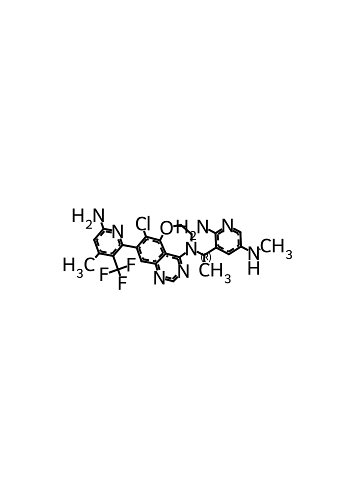 CNc1cnc(N)c([C@@H](C)N2CCOc3c(Cl)c(-c4nc(N)cc(C)c4C(F)(F)F)cc4ncnc2c34)c1